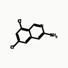 Nc1cc2cc(Cl)cc(Cl)c2cn1